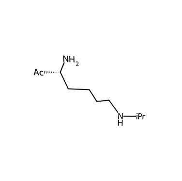 CC(=O)[C@H](N)CCCCNC(C)C